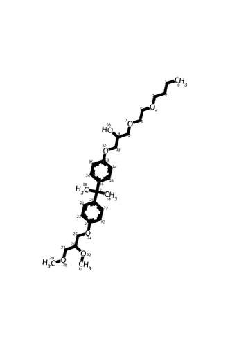 CCCCOCCOCC(O)COc1ccc(C(C)(C)c2ccc(OCC(COC)OC)cc2)cc1